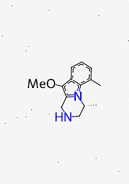 COc1c2n(c3c(C)cccc13)[C@H](C)CNC2